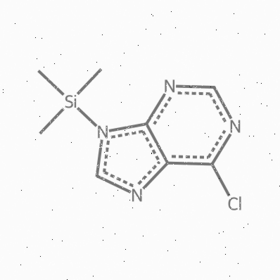 C[Si](C)(C)n1cnc2c(Cl)ncnc21